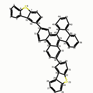 c1ccc2c(c1)sc1ccc(-c3ccc4c5ccc(-c6ccc7sc8ccccc8c7c6)cc5c5c6ccccc6c6ccccc6c5c4c3)cc12